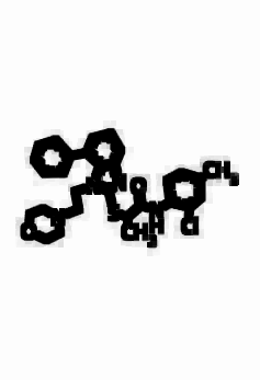 Cc1ccc(NC(=O)C(C)Sc2nc3cccc(-c4ccccc4)c3n2CCN2CCOCC2)c(Cl)c1